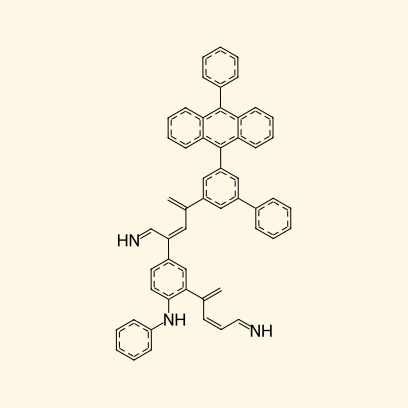 C=C(/C=C(\C=N)c1ccc(Nc2ccccc2)c(C(=C)/C=C\C=N)c1)c1cc(-c2ccccc2)cc(-c2c3ccccc3c(-c3ccccc3)c3ccccc23)c1